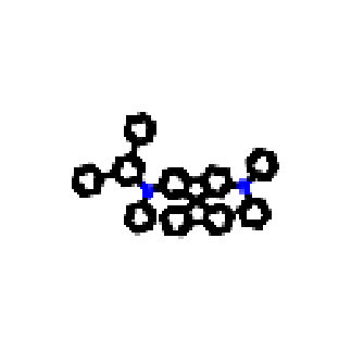 c1ccc(-c2cc(-c3ccccc3)cc(N(c3ccccc3)c3ccc4c(c3)C3(c5ccccc5-c5ccccc53)c3cc(N(c5ccccc5)c5ccccc5)ccc3-4)c2)cc1